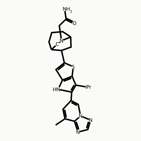 Cc1cc(-c2[nH]c3cc(C4CC5CCCC4CN5CC(N)=O)sc3c2C(C)C)cn2ncnc12